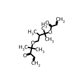 C=CC(=O)OC(C)(C)C(C)COC(C)(C)C(=O)C=C